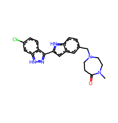 CN1CCN(Cc2ccc3[nH]c(-c4n[nH]c5cc(Cl)ccc45)cc3c2)CCC1=O